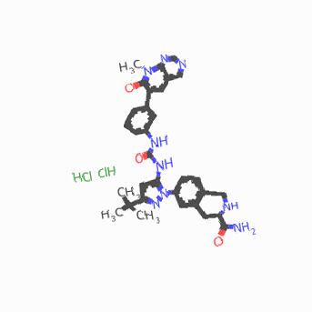 Cl.Cl.Cn1c(=O)c(-c2cccc(NC(=O)Nc3cc(C(C)(C)C)nn3-c3ccc4c(c3)CC(C(N)=O)NC4)c2)cc2cncnc21